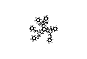 O=S(=O)(c1ccccc1)c1nc2c(nc1SOOc1ccccc1)c1nc(SOOc3ccccc3)c(SOOc3ccccc3)nc1c1nc(S(=O)(=O)c3ccccc3)c(S(=O)(=O)c3ccccc3)nc21